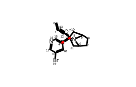 C=COC(=O)N1C2CCC1CC(C#N)(c1cncc(Br)c1)C2